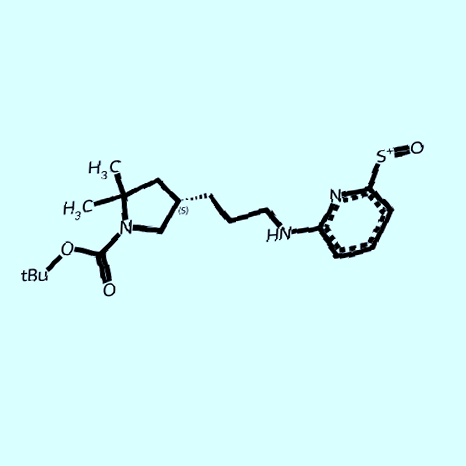 CC(C)(C)OC(=O)N1C[C@@H](CCCNc2cccc([S+]=O)n2)CC1(C)C